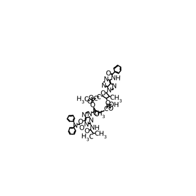 COP1(=O)CCC2OC(n3cnc4c(NC(=O)c5ccccc5)ncnc43)C(C)C2OP(=O)(O)CCC2OC(n3cnc4c(OC(=O)N(c5ccccc5)c5ccccc5)nc(NC(=O)C(C)C)nc43)C(O1)C2C